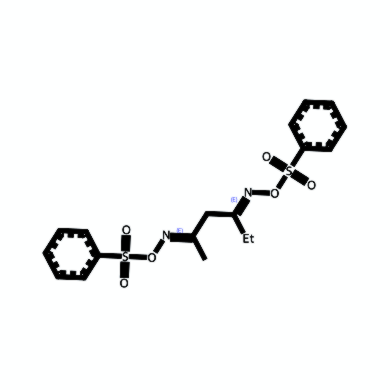 CC/C(C/C(C)=N/OS(=O)(=O)c1ccccc1)=N\OS(=O)(=O)c1ccccc1